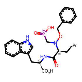 CC(C)C[C@@H](C(=O)N[C@@H](Cc1c[nH]c2ccccc12)C(=O)O)N(C[PH](=O)O)OCc1ccccc1